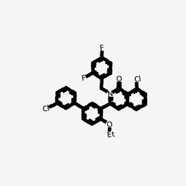 CCOc1ccc(-c2cccc(Cl)c2)cc1-c1cc2cccc(Cl)c2c(=O)n1Cc1ccc(F)cc1F